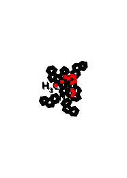 CC1(C2(C)c3ccc4ccccc4c3-c3c2cc(N(c2ccc4c(ccc5ccccc54)c2)c2ccc4c(ccc5ccccc54)c2)c2ccccc32)c2ccc3ccccc3c2-c2c1cc(N(c1ccc3c(ccc4ccccc43)c1)c1ccc3c(ccc4ccccc43)c1)c1ccccc21